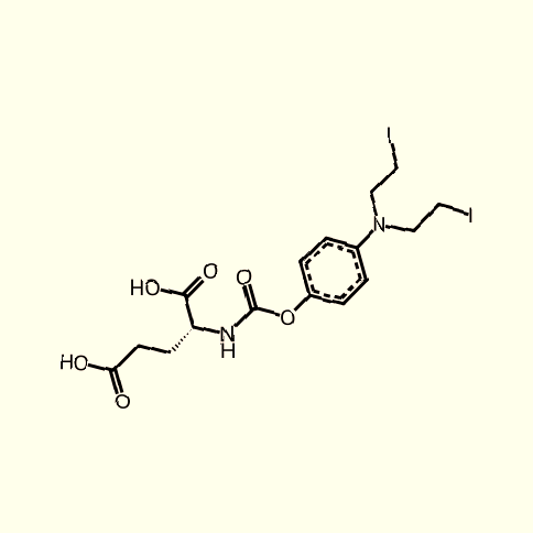 O=C(O)CC[C@@H](NC(=O)Oc1ccc(N(CCI)CCI)cc1)C(=O)O